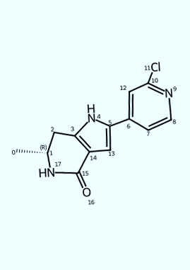 C[C@@H]1Cc2[nH]c(-c3ccnc(Cl)c3)cc2C(=O)N1